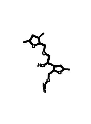 CC1C=C(C(O)COCC2OC(C)C[C@H]2C)C(CON=S)O1